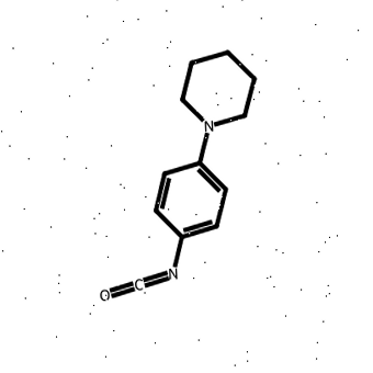 O=C=Nc1ccc(N2CCCCC2)cc1